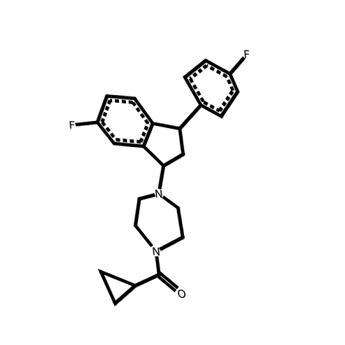 O=C(C1CC1)N1CCN(C2CC(c3ccc(F)cc3)c3ccc(F)cc32)CC1